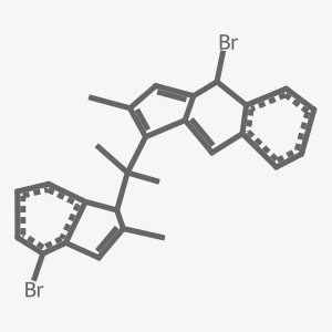 CC1=Cc2c(Br)cccc2C1C(C)(C)C1=C(C)C=C2C1=Cc1ccccc1C2Br